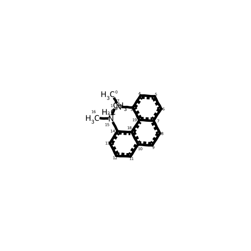 CN(C)c1cccc2ccc3cccc(N(C)C)c3c12